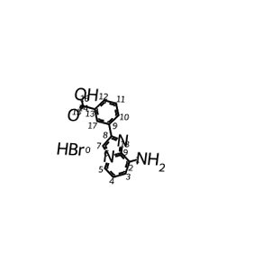 Br.Nc1cccn2cc(-c3cccc(C(=O)O)c3)nc12